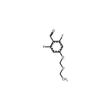 CCOCOc1cc(F)c(C=O)c(F)c1